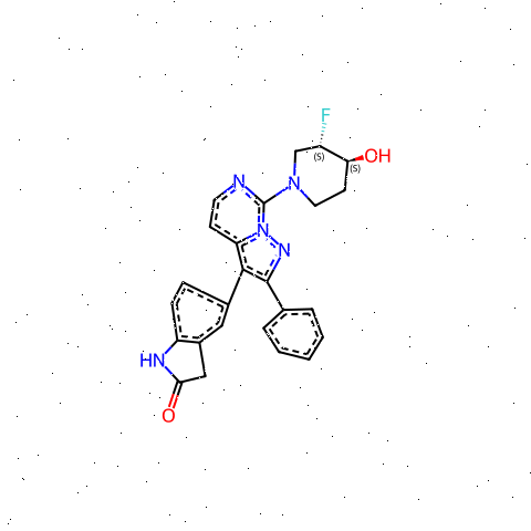 O=C1Cc2cc(-c3c(-c4ccccc4)nn4c(N5CC[C@H](O)[C@@H](F)C5)nccc34)ccc2N1